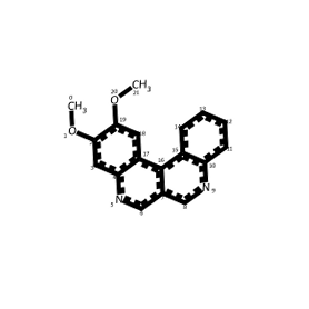 COc1cc2ncc3cnc4ccccc4c3c2cc1OC